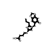 CCCc1nc(SCCCC(=O)O)cn1Cc1cc2c(cc1Cl)OCO2